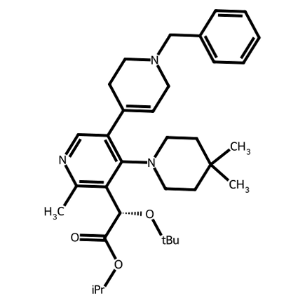 Cc1ncc(C2=CCN(Cc3ccccc3)CC2)c(N2CCC(C)(C)CC2)c1[C@H](OC(C)(C)C)C(=O)OC(C)C